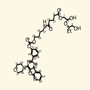 CCC(CO)OC(O)COC(=O)CCCC(=O)NCCCCOC(=O)Oc1cccc(-c2nc(N3CCOCC3)c3oc4ncccc4c3n2)c1